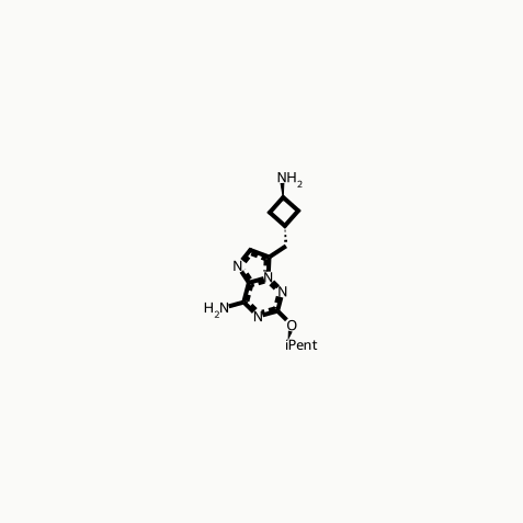 CCC[C@H](C)Oc1nc(N)c2ncc(C[C@H]3C[C@H](N)C3)n2n1